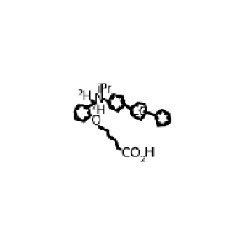 [2H]C([2H])(c1ccccc1OCCCCCC(=O)O)N(c1ccc(C23CCC(c4ccccc4)(CC2)CC3)cc1)C(C)C